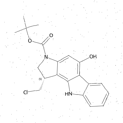 CC(C)(C)OC(=O)N1C[C@@H](CCl)c2c1cc(O)c1c2[nH]c2ccccc21